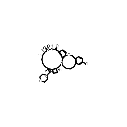 C[C@@H]1[C@@H](C)CCC[C@@](C)(CN2CCOCC2)[C@@H]2CC[C@H]2CN2CCCCc3cc(Cl)ccc3COc3ccc(cc32)C(=O)NS1(=O)=O